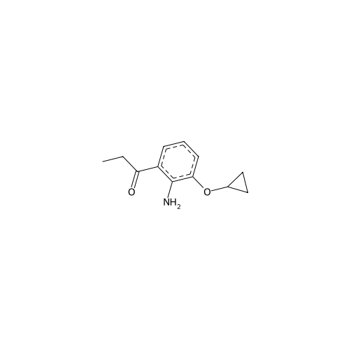 CCC(=O)c1cccc(OC2CC2)c1N